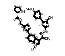 CCn1cc(C(NNc2nc(-c3ccc(OC)cc3)c(C#N)s2)C(F)(F)F)c2cc(-c3nc(COC(=O)[C@@H]4CCCN4)cs3)ccc21